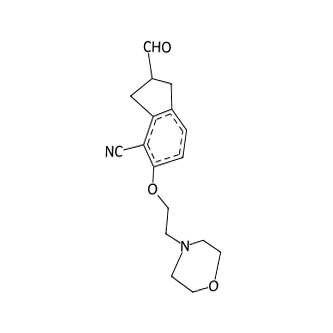 N#Cc1c(OCCN2CCOCC2)ccc2c1CC(C=O)C2